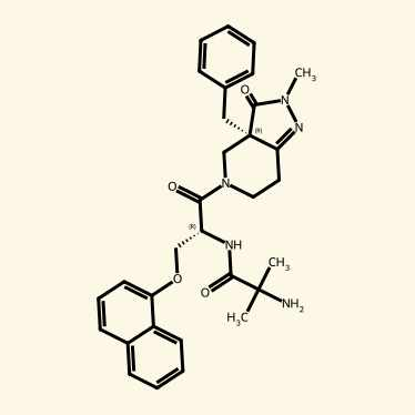 CN1N=C2CCN(C(=O)[C@@H](COc3cccc4ccccc34)NC(=O)C(C)(C)N)C[C@@]2(Cc2ccccc2)C1=O